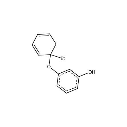 CCC1(Oc2cccc(O)c2)C=CC=CC1